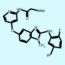 CNCC(=O)Nc1cc(Oc2ccc3c(c2)nc(Nc2cc(C(C)C)ccc2F)n3C)ccn1